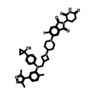 Cc1ccc(-c2c(C)noc2C)cc1N(CC1CN(C2CCN(c3cc4c(cc3F)C(=O)N(C3CCC(=O)NC3=O)C4=O)CC2)C1)c1ccc(C2(C#N)CC2)cc1